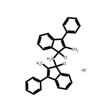 CC1=C(c2ccccc2)c2ccccc2C1(Cl)[SiH2]C1(Cl)C(C)=C(c2ccccc2)c2ccccc21.[Hf]